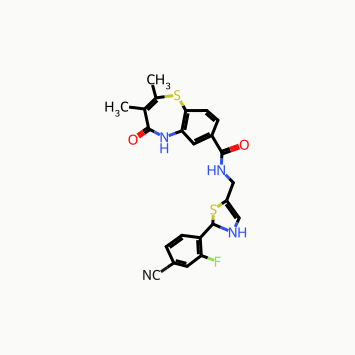 CC1=C(C)C(=O)Nc2cc(C(=O)NCC3=CNC(c4ccc(C#N)cc4F)S3)ccc2S1